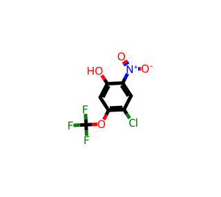 O=[N+]([O-])c1cc(Cl)c(OC(F)(F)F)cc1O